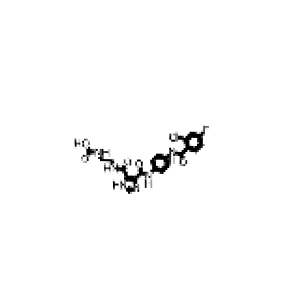 O=C(O)NCCNC(=O)c1[nH]cnc1C(=O)Nc1ccc(NC(=O)c2ccc(F)cc2Cl)cc1